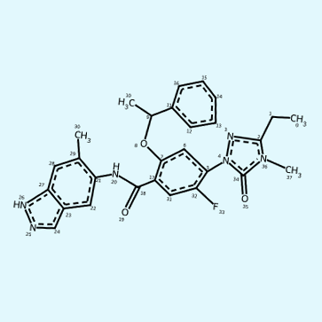 CCc1nn(-c2cc(OC(C)c3ccccc3)c(C(=O)Nc3cc4cn[nH]c4cc3C)cc2F)c(=O)n1C